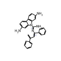 C=C(/C=C(\N=C(/N)n1c2cc(N)ccc2c2ccc(N)cc21)c1ccccc1)c1ccccc1